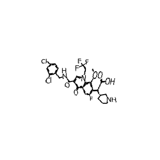 COc1c(C(C(=O)O)C2CCCNC2)c(F)cc2c(=O)c(C(=O)NCc3ccc(Cl)cc3Cl)cn(CC(F)(F)F)c12